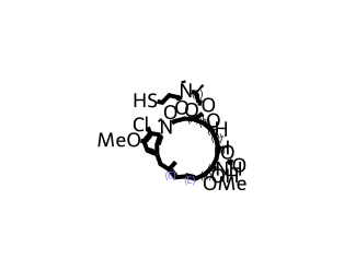 COc1cc2cc(c1Cl)N(C)C(=O)C[C@]1(OC(=O)[C@H](C)N(C)C(=O)CCS)C[C@@]13O[C@H]3[C@H](C)[C@@H]1C[C@@](O)(NC(=O)O1)[C@H](OC)/C=C/C=C(\C)C2